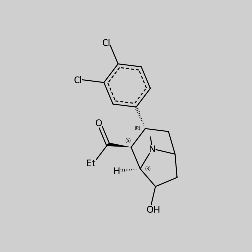 CCC(=O)[C@H]1[C@H](c2ccc(Cl)c(Cl)c2)CC2CC(O)[C@@H]1N2C